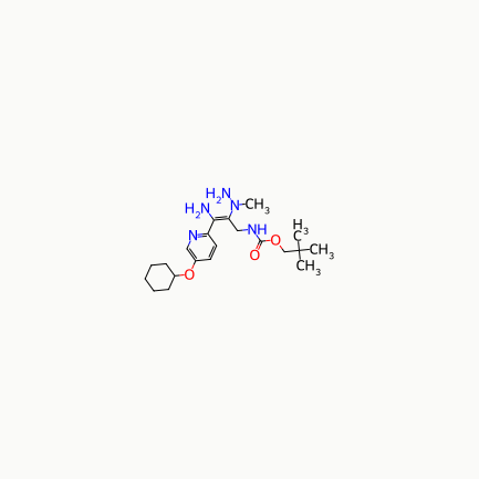 CN(N)/C(CNC(=O)OCC(C)(C)C)=C(\N)c1ccc(OC2CCCCC2)cn1